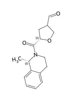 C[C@H]1c2ccccc2CCN1C(=O)[C@@H]1CC(C=O)CO1